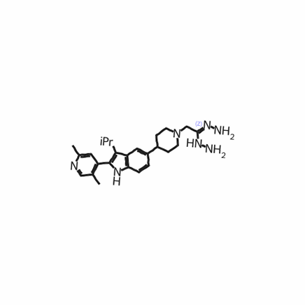 Cc1cc(-c2[nH]c3ccc(C4CCN(C/C(=N/N)NN)CC4)cc3c2C(C)C)c(C)cn1